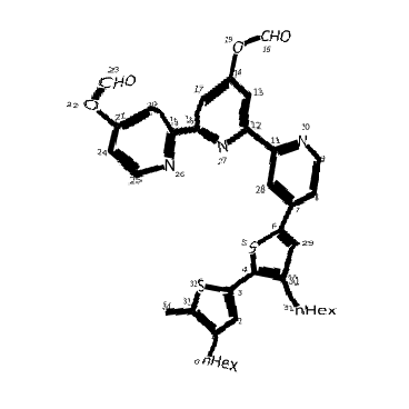 CCCCCCc1cc(-c2sc(-c3ccnc(-c4cc(OC=O)cc(-c5cc(OC=O)ccn5)n4)c3)cc2CCCCCC)sc1C